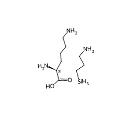 NCCCC[C@H](N)C(=O)O.NCCC[SiH3]